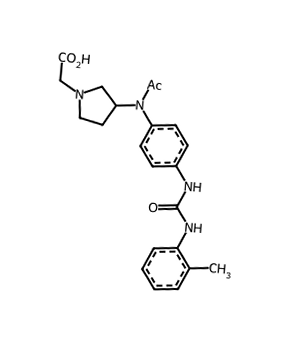 CC(=O)N(c1ccc(NC(=O)Nc2ccccc2C)cc1)C1CCN(CC(=O)O)C1